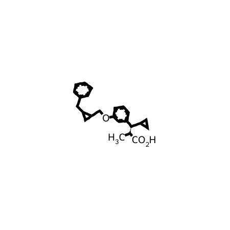 CC(C(=O)O)[C@H](c1cccc(OCC2CC2Cc2ccccc2)c1)C1CC1